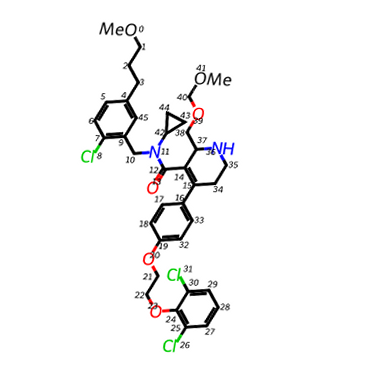 COCCCc1ccc(Cl)c(CN(C(=O)C2=C(c3ccc(OCCOc4c(Cl)cccc4Cl)cc3)CCNC2COCOC)C2CC2)c1